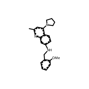 COc1ccccc1CNc1ccc2c(N3CCCC3)cc(C)nc2c1